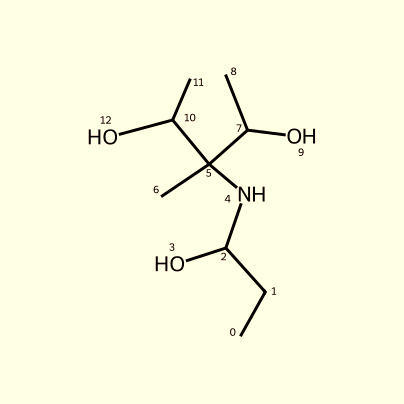 CCC(O)NC(C)(C(C)O)C(C)O